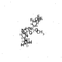 COCC(NC(=O)c1cnn2ccc(N3C[C@H]4C[C@@H](C3)O4)nc12)c1ccc(OC(F)(F)F)c(F)c1